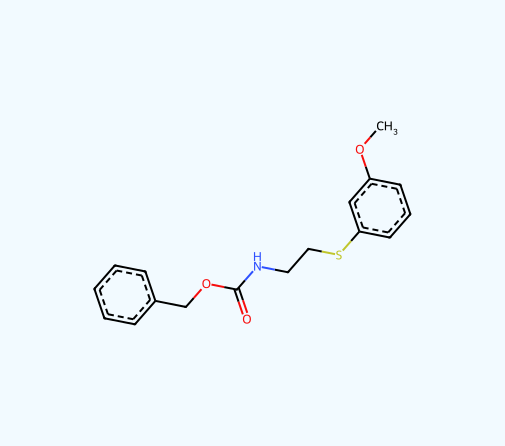 COc1cccc(SCCNC(=O)OCc2ccccc2)c1